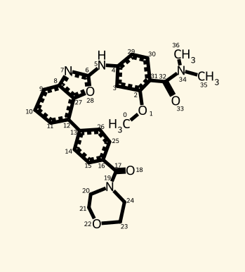 COc1cc(Nc2nc3cccc(-c4ccc(C(=O)N5CCOCC5)cc4)c3o2)ccc1C(=O)N(C)C